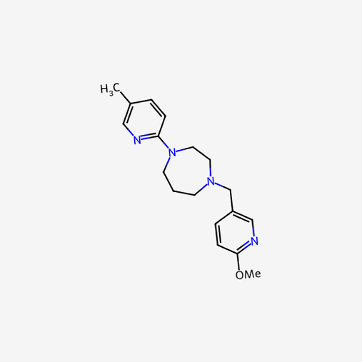 COc1ccc(CN2CCCN(c3ccc(C)cn3)CC2)cn1